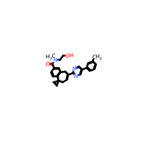 Cc1cccc(-c2cnc(C3=CCC4(CC4)c4ccc(C(=O)N(C)CCO)cc4C3)nc2)c1